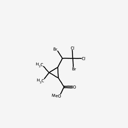 COC(=O)C1C(C(Br)C(Cl)(Cl)Br)C1(C)C